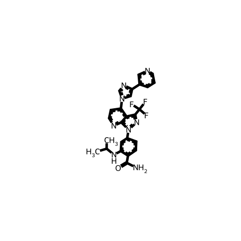 CC(C)Nc1cc(-n2nc(C(F)(F)F)c3c(-n4cnc(-c5cccnc5)c4)ccnc32)ccc1C(N)=O